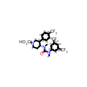 CN(C(=O)N(C)[C@@H]1CCN(C(=O)O)CC1c1ccc(C(F)(F)F)cc1)c1cc(C(F)(F)F)cc(C(F)(F)F)c1